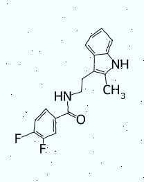 Cc1[nH]c2ccccc2c1CCNC(=O)c1ccc(F)c(F)c1